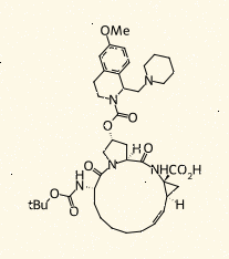 COc1ccc2c(c1)CCN(C(=O)O[C@@H]1C[C@H]3C(=O)N[C@]4(C(=O)O)C[C@H]4/C=C\CCCCC[C@H](NC(=O)OC(C)(C)C)C(=O)N3C1)C2CN1CCCCC1